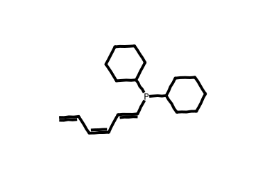 C=C/C=C\C=C\P(C1CCCCC1)C1CCCCC1